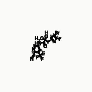 CC(O)(Cn1cc(Br)c(F)n1)C(=O)Nc1cnc(C#N)c(C(F)(F)F)c1